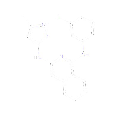 Cc1cc(Nc2cc3ccccc3c(Nc3cccc(Cl)c3)n2)n[nH]1